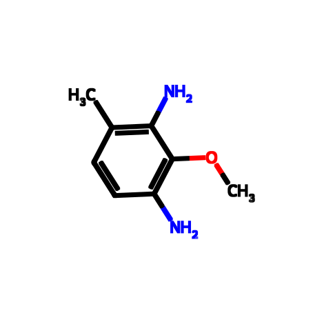 COc1c(N)ccc(C)c1N